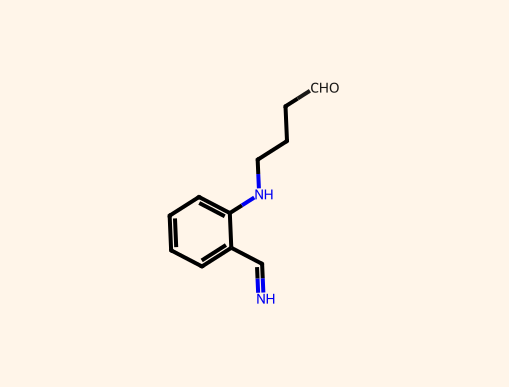 N=Cc1ccccc1NCCCC=O